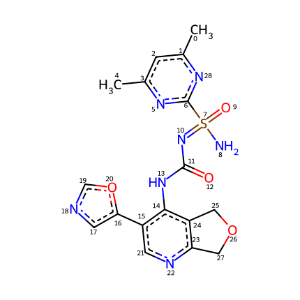 Cc1cc(C)nc(S(N)(=O)=NC(=O)Nc2c(-c3cnco3)cnc3c2COC3)n1